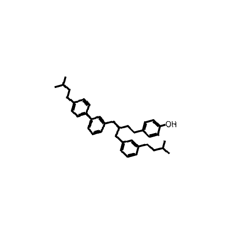 CC(C)CCc1ccc(-c2cccc(CC(CCc3ccc(O)cc3)Cc3cccc(CCC(C)C)c3)c2)cc1